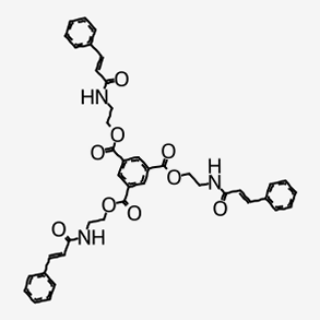 O=C(/C=C/c1ccccc1)NCCOC(=O)c1cc(C(=O)OCCNC(=O)/C=C/c2ccccc2)cc(C(=O)OCCNC(=O)/C=C/c2ccccc2)c1